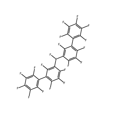 FB(c1c(F)c(F)c(F)c(-c2c(F)c(F)c(F)c(F)c2F)c1F)c1c(F)c(F)c(F)c(-c2c(F)c(F)c(F)c(F)c2F)c1F